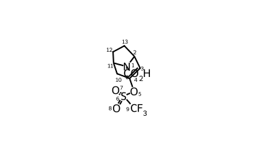 O=C(O)N1C2C=C(OS(=O)(=O)C(F)(F)F)CC1CC2